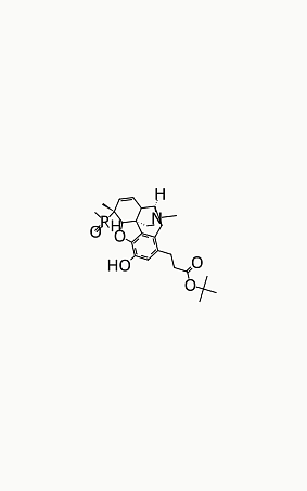 CN1CC[C@]23c4c5c(CCC(=O)OC(C)(C)C)cc(O)c4O[C@H]2[C@](C)(P(C)(C)=O)C=CC3[C@H]1C5